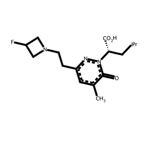 Cc1cc(CCN2CC(F)C2)nn([C@@H](CC(C)C)C(=O)O)c1=O